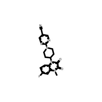 Cn1c(=O)c(=O)n(C2CCN(c3ncc(C#N)cn3)CC2)c2ccc(F)cc21